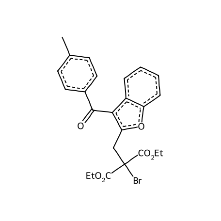 CCOC(=O)C(Br)(Cc1oc2ccccc2c1C(=O)c1ccc(C)cc1)C(=O)OCC